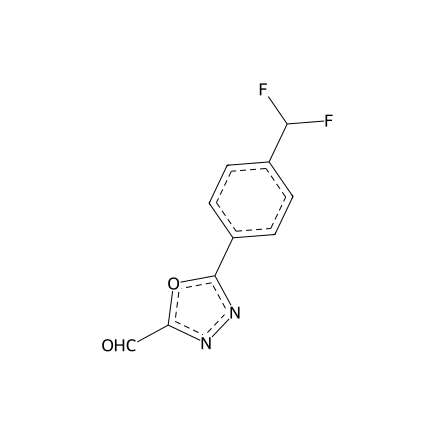 O=Cc1nnc(-c2ccc(C(F)F)cc2)o1